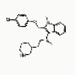 Cn1c(COc2ccc(Cl)cc2)c(C(=O)CCC2CCCNC2)c2ccccc21